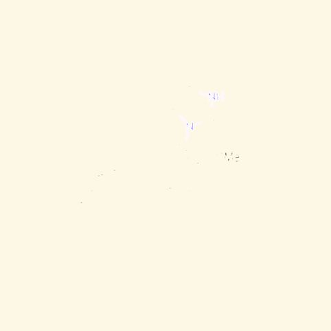 COc1ccc(-c2ccccc2)cc1N1CCNS1